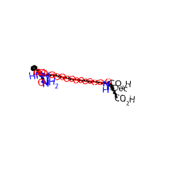 CCCCCCCCCCCC(CCCCCCCCC(=O)O)(C(=O)O)C(=O)NCCOCCOCCOCCOCCOCCOCCOCCOCCOCCOCCOCCNC(=O)[C@H](CCC(N)=O)NC(=O)OCc1ccccc1